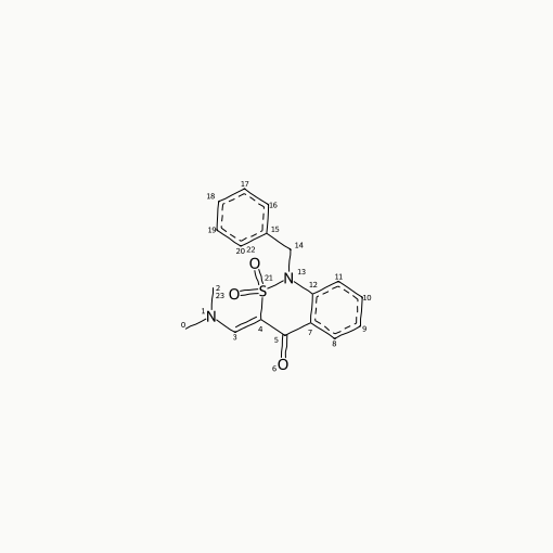 CN(C)/C=C1/C(=O)c2ccccc2N(Cc2ccccc2)S1(=O)=O